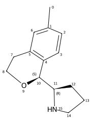 Cc1ccc2c(c1)CCO[C@@H]2[C@H]1CCCN1